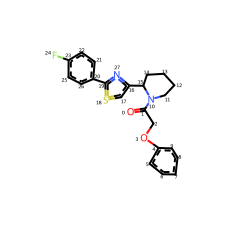 O=C(COc1ccccc1)N1CCCCC1c1csc(-c2ccc(F)cc2)n1